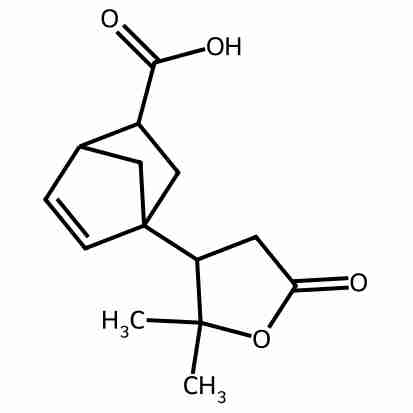 CC1(C)OC(=O)CC1C12C=CC(C1)C(C(=O)O)C2